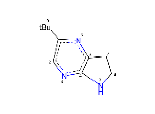 CC(C)(C)c1cnc2c(n1)CCN2